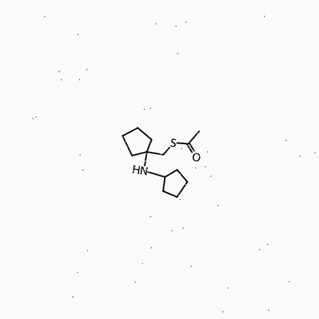 CC(=O)SCC1(NC2CCCC2)CCCC1